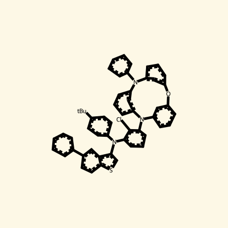 CC(C)(C)c1ccc(N(c2cccc(N3c4cccc(c4)Oc4cccc(c4)N(c4ccccc4)c4cccc3c4)c2Cl)c2csc3ccc(-c4ccccc4)cc23)cc1